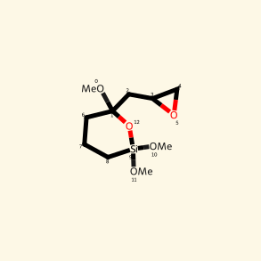 COC1(CC2CO2)CCC[Si](OC)(OC)O1